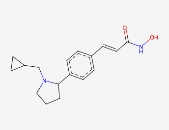 O=C(C=Cc1ccc(C2CCCN2CC2CC2)cc1)NO